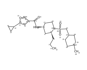 CCC[C@H]1C[C@@H](NC(=O)c2cc(C3CC3)on2)CCN1S(=O)(=O)CC1CCN(C)CC1